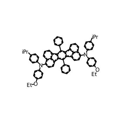 CCOc1ccc(N(c2ccc(C(C)C)cc2)c2ccc3c4c(-c5ccccc5)c5c6ccc(N(c7ccc(OCC)cc7)c7ccc(C(C)C)cc7)c7cccc(c5c(-c5ccccc5)c4c4cccc2c43)c76)cc1